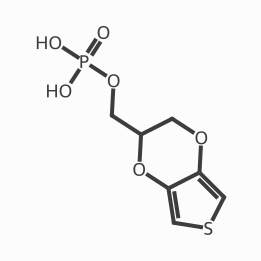 O=P(O)(O)OCC1COc2cscc2O1